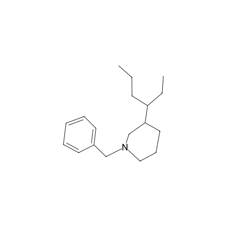 CCCC(CC)C1CCCN(Cc2ccccc2)C1